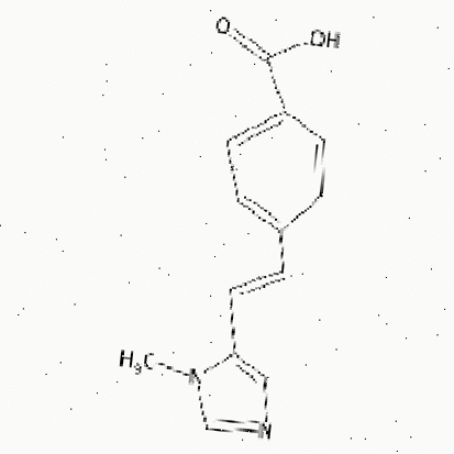 Cn1cncc1C=Cc1ccc(C(=O)O)cc1